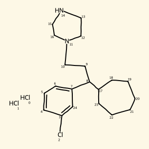 Cl.Cl.Clc1cccc(C(CCN2CCNCC2)C2CCCCCC2)c1